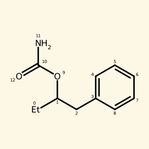 CCC(Cc1ccccc1)OC(N)=O